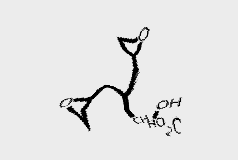 C=C(CC1CO1)CC1CO1.O=C(O)O